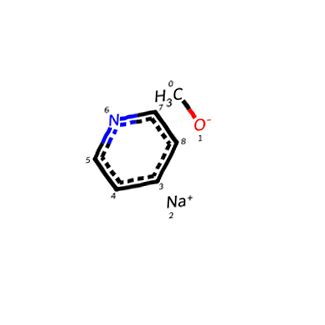 C[O-].[Na+].c1ccncc1